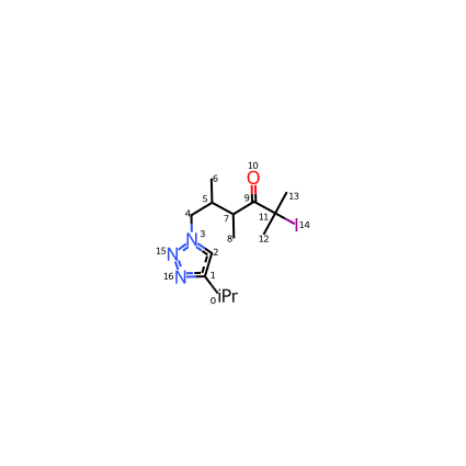 CC(C)c1cn(CC(C)C(C)C(=O)C(C)(C)I)nn1